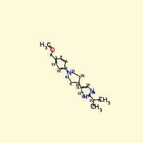 COCc1ccc(N2CCC(c3cnc(C(C)C)nc3)CC2)cc1